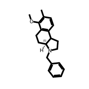 COc1c(C)ccc2c1CC[C@H]1C2CCN1Cc1ccccc1